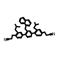 CC(C)Cc1cc(-c2ccc(-c3ccc(CCC#N)cc3CC(C)C)cc2Cc2cccc3ccccc23)ccc1CCC#N